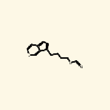 O=[C]OCCCCc1ccc2ccocc1-2